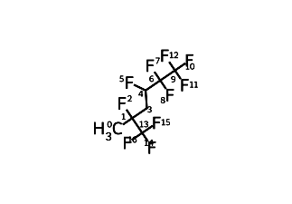 CC(F)(CC(F)C(F)(F)C(F)(F)F)C(F)(F)F